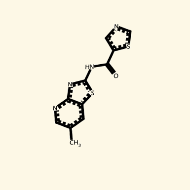 Cc1cnc2nc(NC(=O)c3cncs3)sc2c1